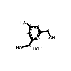 Cc1cc(CO)nc(CO)c1.Cl